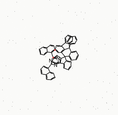 c1ccc(C2(c3ccccc3-c3nc(-c4cccc5ccccc45)nc(-c4cccc5ccccc45)n3)c3ccccc3C3(c4ccccc4)c4ccccc4-c4cccc2c43)cc1